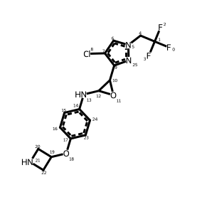 FC(F)(F)Cn1cc(Cl)c(C2OC2Nc2ccc(OC3CNC3)cc2)n1